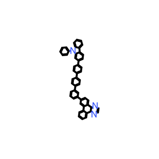 c1ccc(-n2c3ccccc3c3ccc(-c4ccc(-c5ccc(-c6cccc(-c7ccc8c(c7)c7ccccc7c7nccnc87)c6)cc5)cc4)cc32)cc1